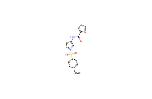 COc1ccc(S(=O)(=O)n2ccc(NC(=O)c3ccco3)c2)cc1